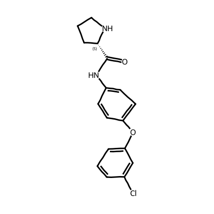 O=C(Nc1ccc(Oc2cccc(Cl)c2)cc1)[C@@H]1CCCN1